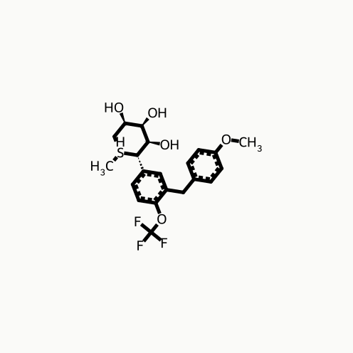 COc1ccc(Cc2cc([C@H]3[C@H](O)[C@H](O)[C@H](O)C[SH]3C)ccc2OC(F)(F)F)cc1